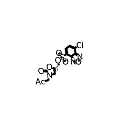 CC(=O)CN1C[C@@H](COS(=O)(=O)c2ccc(Cl)c3nonc23)OC1=O